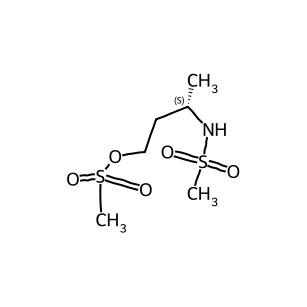 C[C@@H](CCOS(C)(=O)=O)NS(C)(=O)=O